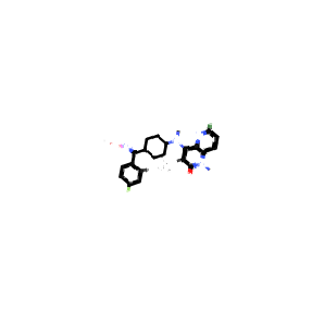 COc1cc(F)ccc1/C(=N\OC(C)(C)C)C1CCC(N(C)c2c(C#N)c(=O)n(C)c3ccc(Cl)nc23)CC1